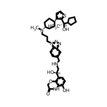 CN(CCCn1nnc2cc(CNC[C@H](O)c3ccc(O)c4c3OCC(=O)N4)ccc21)[C@H]1CC[C@H](c2ccsc2[C@@](O)(C(=O)O)C2CCCC2)CC1